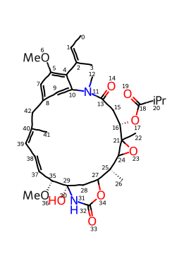 C/C=C(\C)c1c(OC)cc2cc1N(C)C(=O)C[C@H](OC(=O)C(C)C)C1(C)OC1[C@H](C)C1C[C@@](O)(NC(=O)O1)[C@H](OC)/C=C/C=C(\C)C2